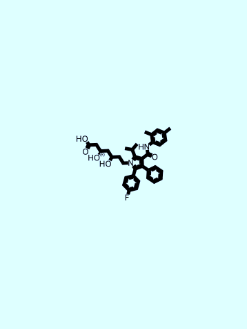 Cc1ccc(NC(=O)c2c(-c3ccccc3)c(-c3ccc(F)cc3)n(CCC(O)C[C@@H](O)CC(=O)O)c2C(C)C)c(C)c1